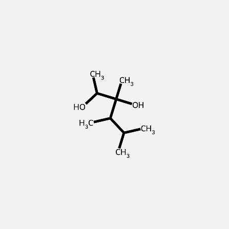 CC(C)C(C)C(C)(O)C(C)O